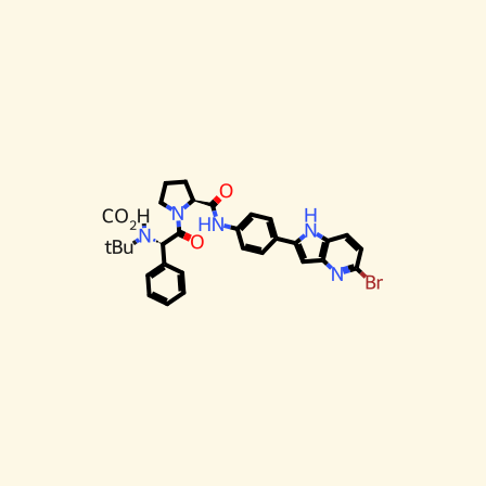 CC(C)(C)N(C(=O)O)[C@H](C(=O)N1CCC[C@H]1C(=O)Nc1ccc(-c2cc3nc(Br)ccc3[nH]2)cc1)c1ccccc1